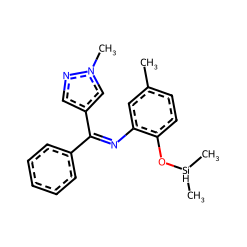 Cc1ccc(O[SiH](C)C)c(N=C(c2ccccc2)c2cnn(C)c2)c1